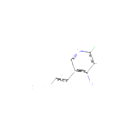 CCOC(=O)/C=C/c1cnc(Cl)cc1N